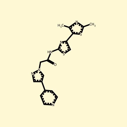 Cc1nc(C)c(-c2csc(NC(=O)Cn3cc(-c4ccncc4)cn3)n2)s1